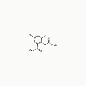 CNC(=O)c1cc(Cl)cc(C)c1CC(=O)OC